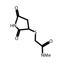 CNC(=O)CSC1CC(=O)NC1=O